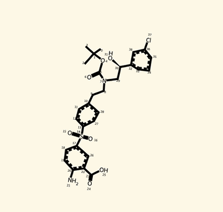 CC(C)(C)OC(=O)N(CCc1ccc(S(=O)(=O)c2ccc(N)c(C(=O)O)c2)cc1)C[C@@H](O)c1cccc(Cl)c1